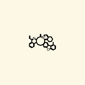 C=CC1=NC2CC(=C)[n+]3ccc4c(c3-c3cc5c(cc3CCC2c2ccccc21)oc1cccc(C)c15)CCCC4